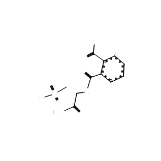 CC(=O)c1ccccc1C(=O)N[C@@H](CS(=O)(=O)O)C(=O)O